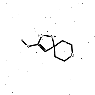 ISC1=CC2(CCOCC2)NN1